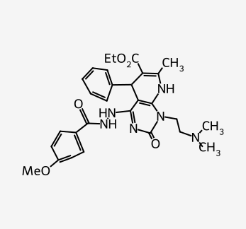 CCOC(=O)C1=C(C)Nc2c(c(NNC(=O)c3ccc(OC)cc3)nc(=O)n2CCN(C)C)C1c1ccccc1